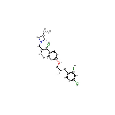 C[C@H](COc1ccc2c(c1)CCC(CN1CC(C(=O)O)C1)=C2Cl)Cc1ccc(Cl)cc1F